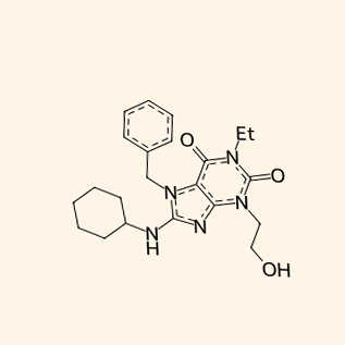 CCn1c(=O)c2c(nc(NC3CCCCC3)n2Cc2ccccc2)n(CCO)c1=O